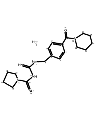 Cl.N=C(NCc1ccc(C(=O)N2CCCCC2)cc1)NC(=N)N1CCCC1